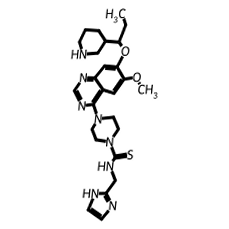 CCC(Oc1cc2ncnc(N3CCN(C(=S)NCc4ncc[nH]4)CC3)c2cc1OC)C1CCCNC1